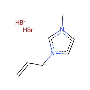 Br.Br.C=CC[n+]1ccn(C)c1